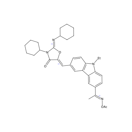 CCn1c2ccc(/C=C3\O/C(=N\C4CCCCC4)N(C4CCCCC4)C3=O)cc2c2cc(/C(C)=N/OC(C)=O)ccc21